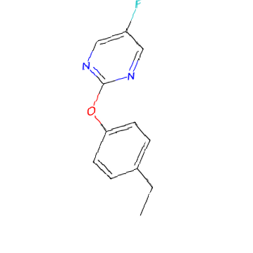 CCc1ccc(Oc2ncc(F)cn2)cc1